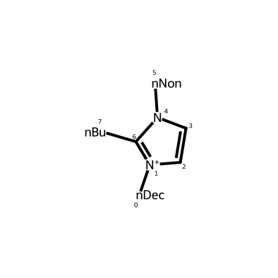 CCCCCCCCCC[n+]1ccn(CCCCCCCCC)c1CCCC